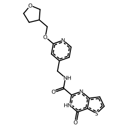 O=C(NCc1ccnc(OCC2CCOC2)c1)c1nc2ccsc2c(=O)[nH]1